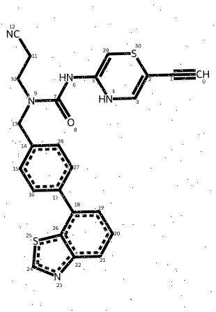 C#CC1=CNC(NC(=O)N(CCC#N)Cc2ccc(-c3cccc4ncsc34)cc2)=CS1